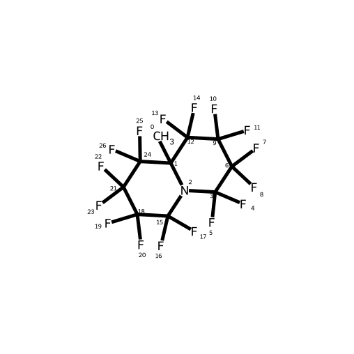 CC12N(C(F)(F)C(F)(F)C(F)(F)C1(F)F)C(F)(F)C(F)(F)C(F)(F)C2(F)F